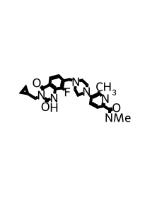 CNC(=O)c1ccc(N2CCN(Cc3ccc4c(=O)n(CC5CC5)c(=O)[nH]c4c3F)CC2)c(C)n1